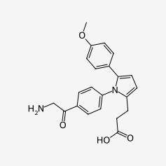 COc1ccc(-c2ccc(CCC(=O)O)n2-c2ccc(C(=O)CN)cc2)cc1